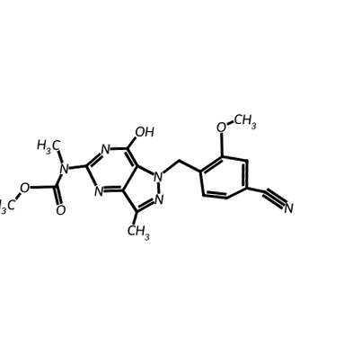 COC(=O)N(C)c1nc(O)c2c(n1)c(C)nn2Cc1ccc(C#N)cc1OC